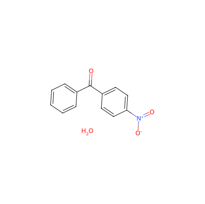 O.O=C(c1ccccc1)c1ccc([N+](=O)[O-])cc1